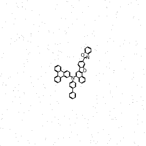 c1ccc(-c2ccc(N(c3ccc4c5ccccc5c5ccccc5c4c3)c3cc4c5ccc(-c6nc7ccccc7o6)cc5oc4c4ccccc34)cc2)cc1